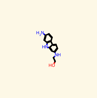 Nc1ccc2c(c1)[nH]c1cc(NCCO)ccc12